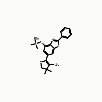 CC(C)(C)C1=C(c2cc(O[Si](C)(C)C(C)(C)C)c3nc(-c4ccccc4)oc3c2)OCC1(C)C